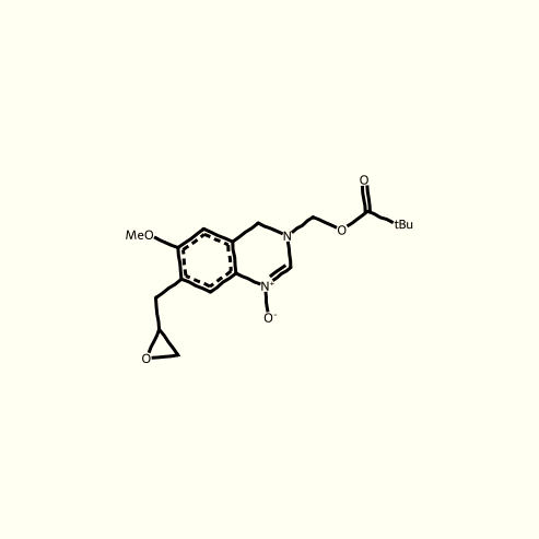 COc1cc2c(cc1CC1CO1)[N+]([O-])=CN(COC(=O)C(C)(C)C)C2